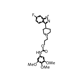 COc1cc(NC(=O)OCCCN2CCC(c3nn(C)c4cc(F)ccc34)CC2)cc(OC)c1OC